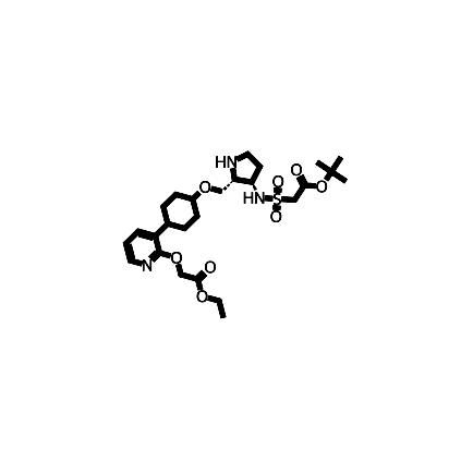 CCOC(=O)COc1ncccc1C1CCC(OC[C@@H]2NCC[C@@H]2NS(=O)(=O)CC(=O)OC(C)(C)C)CC1